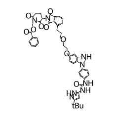 CC(C)(C)c1cc(NC(=O)Nc2ccc(N3CNc4cc(OCCOCCCc5cccc6c5C(=O)N(C5CCC(=O)N(COC(=O)c7ccccc7)C5=O)C6=O)ccc43)cc2)[nH]n1